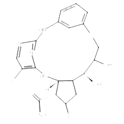 CCC1CC2[C@H](O)C(O)COc3cccc(c3)Nc3ncc(F)c(n3)N[C@H]2[C@H]1C(N)=O